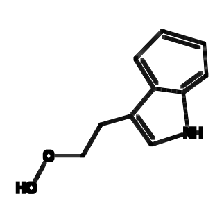 OOCCc1c[nH]c2ccccc12